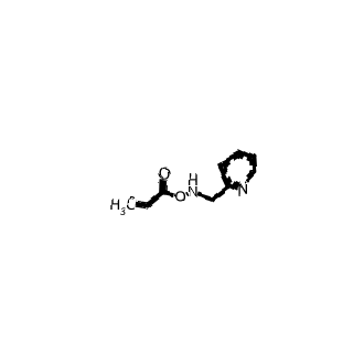 CCC(=O)ONCc1ccccn1